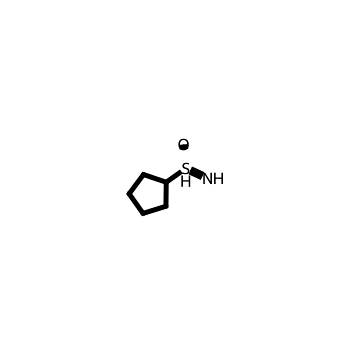 N=[SH](=O)C1CCCC1